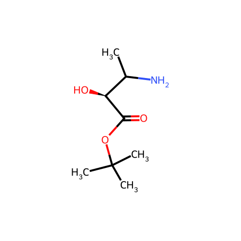 CC(N)[C@H](O)C(=O)OC(C)(C)C